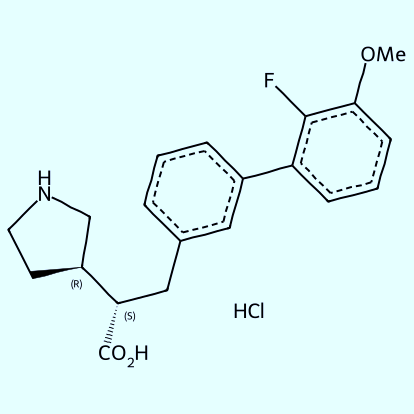 COc1cccc(-c2cccc(C[C@H](C(=O)O)[C@H]3CCNC3)c2)c1F.Cl